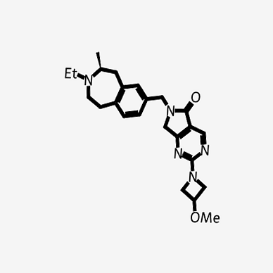 CCN1CCc2ccc(CN3Cc4nc(N5CC(OC)C5)ncc4C3=O)cc2C[C@@H]1C